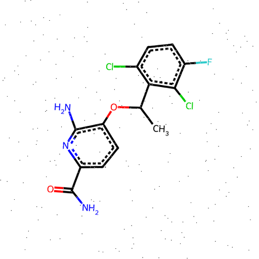 CC(Oc1c[c]c(C(N)=O)nc1N)c1c(Cl)ccc(F)c1Cl